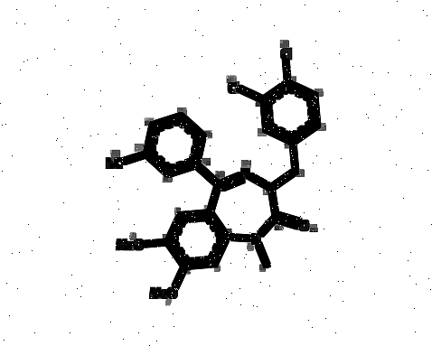 COc1cc2c(cc1OC)N(C)C(=O)C(Cc1ccc(Cl)c(Cl)c1)N=C2c1cccc(C#N)c1